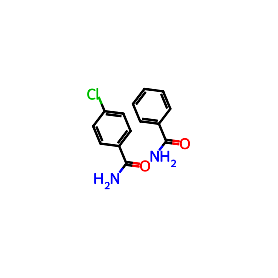 NC(=O)c1ccc(Cl)cc1.NC(=O)c1ccccc1